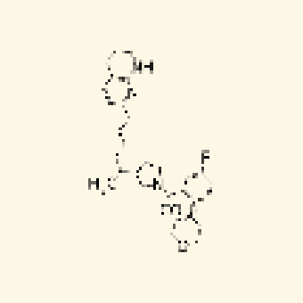 CC(CCCCc1ccc2c(n1)NCCC2)[C@@H]1CCN(C(C(=O)O)c2cc(F)ccc2C2CCOCC2)C1